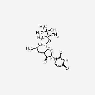 CN(C)C=C1C(=O)[C@@H](n2ccc(=O)[nH]c2=O)O[C@H]1CO[Si](C)(C)C(C)(C)C